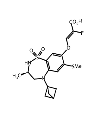 CSc1cc2c(cc1O/C=C(\F)C(=O)O)S(=O)(=O)N[C@H](C)CN2C12CC(C1)C2